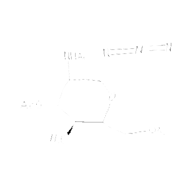 CC(=O)NC1[C@H](N=[N+]=[N-])OC(COC(C)=O)[C@@H](C)[C@@H]1OC(C)=O